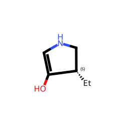 CC[C@H]1CNC=C1O